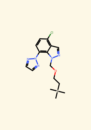 C[Si](C)(C)CCOCn1ncc2c(Cl)ccc(-n3nccn3)c21